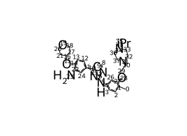 Cc1ccc(Nc2nccc(-c3ccc(OC4CCOCC4)c(N)c3)n2)cc1OCCN1CCN(C(C)C)CC1